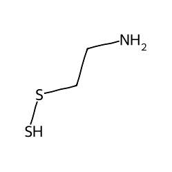 NCCSS